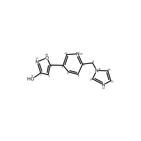 Oc1cc(-c2ccc(Cn3ccnc3)nc2)on1